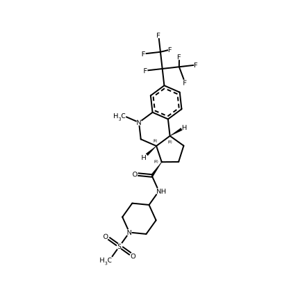 CN1C[C@H]2[C@H](C(=O)NC3CCN(S(C)(=O)=O)CC3)CC[C@H]2c2ccc(C(F)(C(F)(F)F)C(F)(F)F)cc21